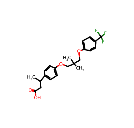 CC(CC(=O)O)c1ccc(OCC(C)(C)COc2ccc(C(F)(F)F)cc2)cc1